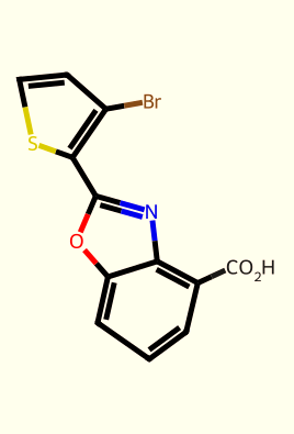 O=C(O)c1cccc2oc(-c3sccc3Br)nc12